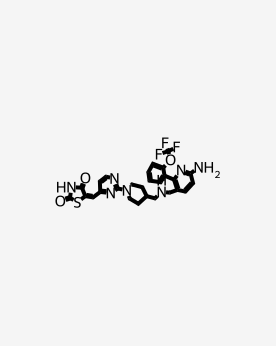 Nc1ccc(CNCC2CCN(c3nccc(/C=C4/SC(=O)NC4=O)n3)CC2)c(-c2ccccc2OC(F)(F)F)n1